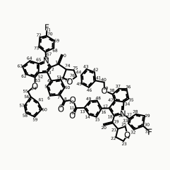 C=C(c1c(-c2ccc(C(=O)OC(=O)c3ccc(-c4c(C(=C)C5CCOC5)n(-c5ccc(F)cc5)c5cccc(OCc6ccccc6)c45)cc3)cc2)c2c(OCc3ccccc3)cccc2n1-c1ccc(F)cc1)C1CCOC1